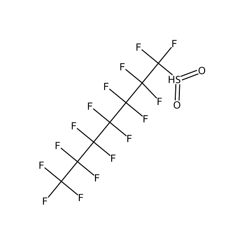 O=[SH](=O)C(F)(F)C(F)(F)C(F)(F)C(F)(F)C(F)(F)C(F)(F)C(F)(F)F